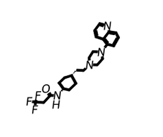 O=C(CC(F)(F)F)N[C@H]1CC[C@H](CCN2CCN(c3cccc4ncccc34)CC2)CC1